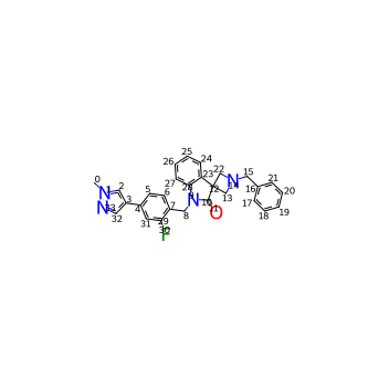 Cn1cc(-c2ccc(CN3C(=O)C4(CN(Cc5ccccc5)C4)c4ccccc43)c(F)c2)cn1